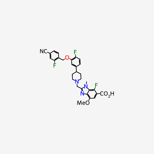 COc1cc(C(=O)O)c(F)c2c1nc(CN1CCC(c3ccc(F)c(OCc4ccc(C#N)cc4F)c3)CC1)n2C